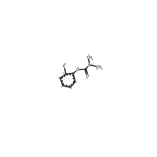 CN(C)C(=O)Oc1cc[c]cc1F